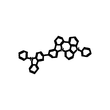 c1ccc(-n2c3ccccc3c3cc(-c4ccc5c(c4)c4cccc6c7cccc8c7c7c(cccc7n5c64)n8-c4ccccc4)ccc32)cc1